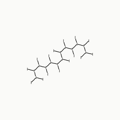 II(I)I(I)I(I)I(I)I(I)I(I)I(I)I(I)I(I)I(I)I(I)I(I)I(I)I